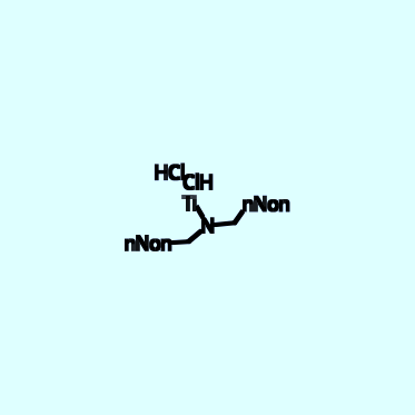 CCCCCCCCCC[N]([Ti])CCCCCCCCCC.Cl.Cl